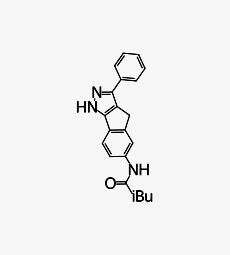 CCC(C)C(=O)Nc1ccc2c(c1)Cc1c(-c3ccccc3)n[nH]c1-2